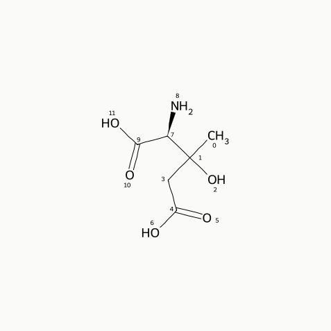 CC(O)(CC(=O)O)[C@H](N)C(=O)O